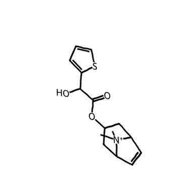 C[N+]1(C)C2C=CC1CC(OC(=O)C(O)c1cccs1)C2